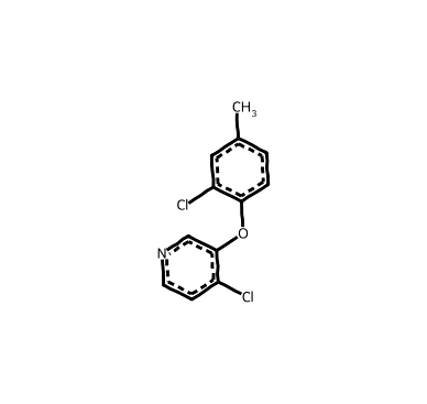 Cc1ccc(Oc2cnccc2Cl)c(Cl)c1